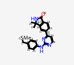 CSCc1ccc(Nc2nccc(-c3ccc4c(c3)C(C)(C)NC4=O)n2)cc1